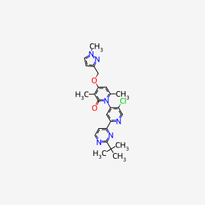 Cc1c(OCc2ccn(C)n2)cc(C)n(-c2cc(-c3ccnc(C(C)(C)C)n3)ncc2Cl)c1=O